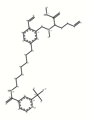 C=CCCC(C(=C)NC)N(C)Cc1cc(CCCCCCCNC(=C)c2ccnc(C(C)(C)F)c2)ccc1C=C